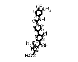 Cc1cc(NC(=O)N2CC=C(c3ncc(C(O)C4OC(CO)=NN4C)cc3Cl)CC2)ccc1C(F)(F)F